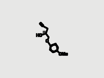 C#CC[C@H](O)COc1ccc(OC)cc1